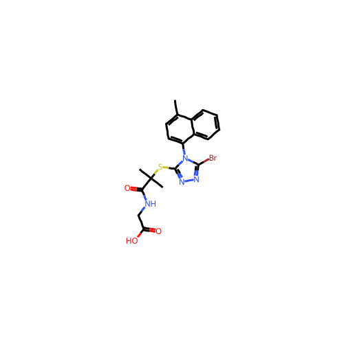 Cc1ccc(-n2c(Br)nnc2SC(C)(C)C(=O)NCC(=O)O)c2ccccc12